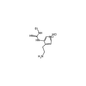 CCNC(=N)Nc1ccccc1CCN.Cl.Cl